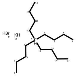 Br.CCCC[PH](CCCC)(CCCC)CCCC.[KH]